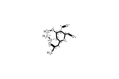 CO[C@H]1[C@H](C=O)C(C=O)OC(CC(C)=O)[C@@H]1OC